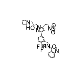 CN(C)c1ccccc1C(=O)NCc1cc(-c2nn(CC(O)CN3CCCC3)c3c2CN(S(C)(=O)=O)CC3)ccc1C(F)(F)F